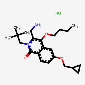 CCCCOc1c(CN)n(CC(C)(C)C)c(=O)c2ccc(OCC3CC3)cc12.Cl